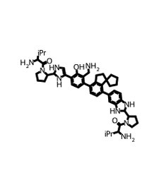 CC(C)C(N)C(=O)N1CCCC1C1NC=C(c2ccc(-c3ccc(-c4ccc5c(c4)NC(C4CCCN4C(=O)C(N)C(C)C)N5)c4c3CCC43CCCC3)c(CN)c2O)N1